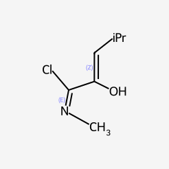 C/N=C(Cl)\C(O)=C\C(C)C